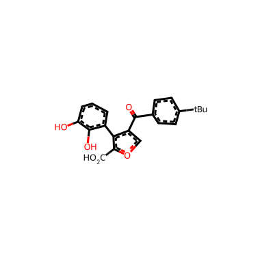 CC(C)(C)c1ccc(C(=O)c2coc(C(=O)O)c2-c2cccc(O)c2O)cc1